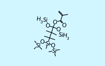 C=C(C)C(=O)OC(O[SiH3])(O[SiH3])C(C)(C)C(C)(C)[Si](C)(O[Si](C)(C)C)O[Si](C)(C)C